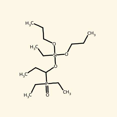 CCCO[Si](CC)(OCCC)OC(CC)P(=O)(CC)CC